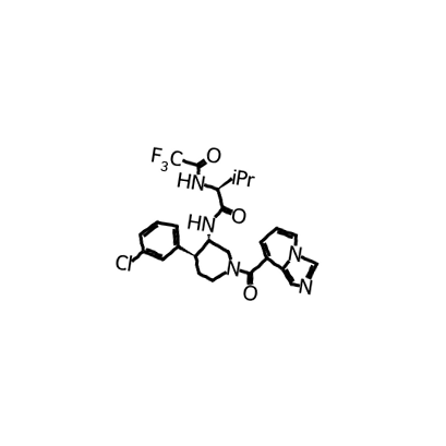 CC(C)[C@H](NC(=O)C(F)(F)F)C(=O)N[C@@H]1CN(C(=O)c2cccn3cncc23)CC[C@H]1c1cccc(Cl)c1